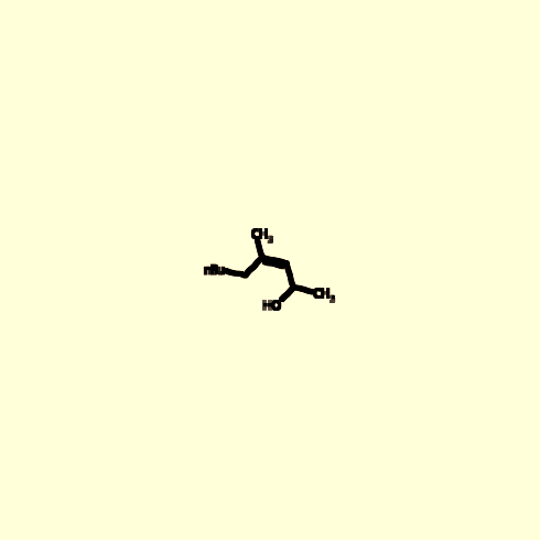 CCCCC/C(C)=C\C(C)O